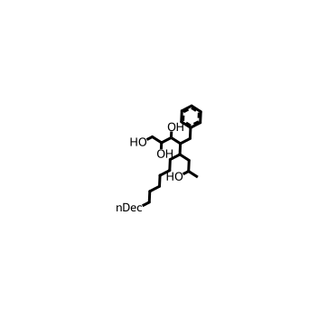 CCCCCCCCCCCCCCCCC(CC(C)O)C(Cc1ccccc1)C(O)C(O)CO